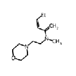 C=C(/C=C\CC)N(C)CCN1CCOCC1